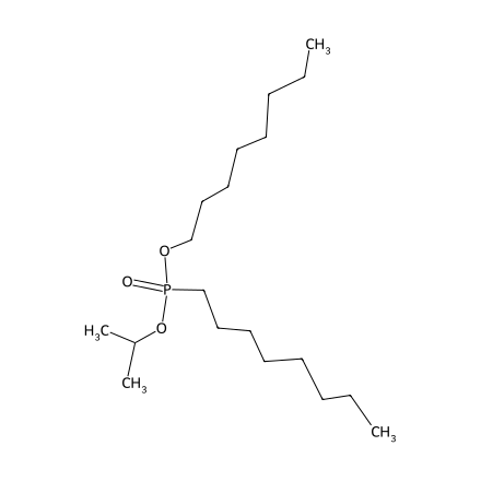 CCCCCCCCOP(=O)(CCCCCCCC)OC(C)C